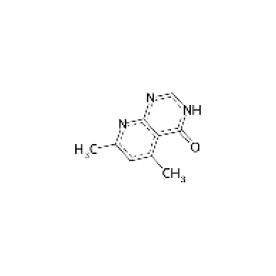 Cc1cc(C)c2c(=O)[nH]cnc2n1